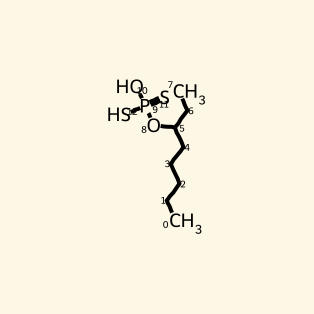 CCCCCC(CC)OP(O)(=S)S